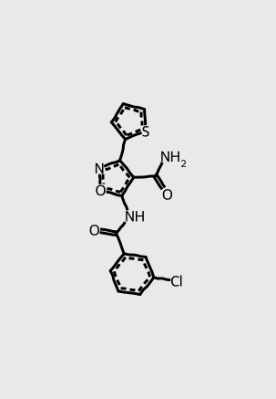 NC(=O)c1c(-c2cccs2)noc1NC(=O)c1cccc(Cl)c1